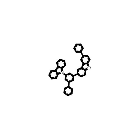 c1ccc(-c2cc(-c3ccc4oc5ccc(-c6ccccc6)cc5c4c3)cc(-n3c4ccccc4c4ccccc43)c2)cc1